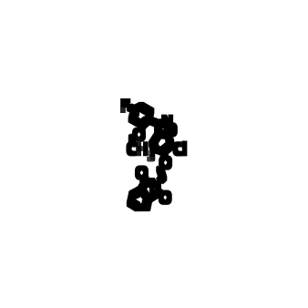 CCOc1cc(F)ccc1-c1noc2c(Cl)c(OCCN3C(=O)c4ccccc4C3=O)ccc12